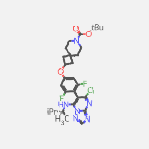 CC(C)[C@@H](C)Nc1c(-c2c(F)cc(OC3CC4(CCN(C(=O)OC(C)(C)C)CC4)C3)cc2F)c(Cl)nc2ncnn12